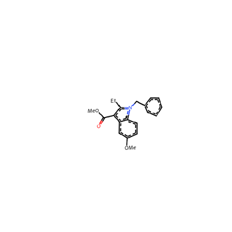 CCc1c(C(=O)OC)c2cc(OC)ccc2n1Cc1ccccc1